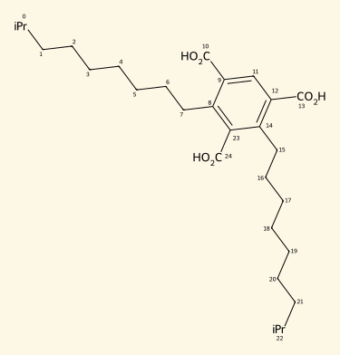 CC(C)CCCCCCCc1c(C(=O)O)cc(C(=O)O)c(CCCCCCCC(C)C)c1C(=O)O